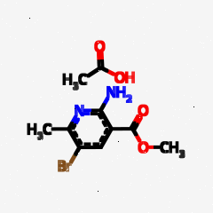 CC(=O)O.COC(=O)c1cc(Br)c(C)nc1N